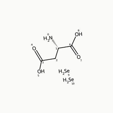 N[C@@H](CC(=O)O)C(=O)O.[SeH2].[SeH2]